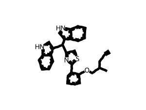 C#CCC(C)COc1ccccc1-c1nc(C(c2c[nH]c3ccccc23)c2c[nH]c3ccccc23)cs1